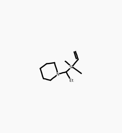 C=C[Si](C)(C)C(CC)N1CCCCC1